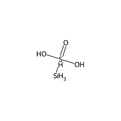 O=[SH](O)(O)[SiH3]